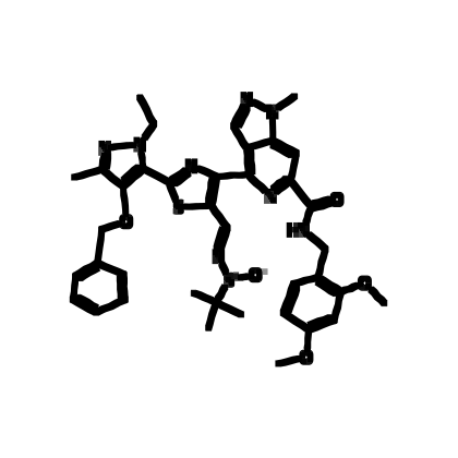 CCn1nc(C)c(OCc2ccccc2)c1-c1nc(-c2nc(C(=O)NCc3ccc(OC)cc3OC)cc3c2cnn3C)c(/C=N/[S+]([O-])C(C)(C)C)s1